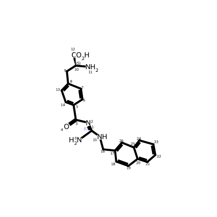 N/C(=N\C(=O)c1ccc(C[C@H](N)C(=O)O)cc1)NCc1ccc2ccccc2c1